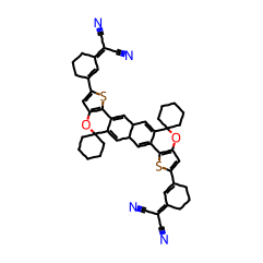 N#CC(C#N)=C1C=C(c2cc3c(s2)C2=CC4C=C5C(=CC4C=C2C2(CCCCC2)O3)c2sc(C3=CC(=C(C#N)C#N)CCC3)cc2OC52CCCCC2)CCC1